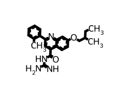 CCC(C)COc1ccc2c(C(=O)NC(=N)N)cc(-c3ccccc3C)nc2c1